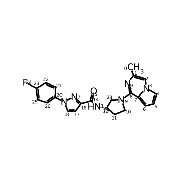 Cc1cn2cccc2c(N2CC[C@H](NC(=O)c3ccn(-c4ccc(F)cc4)n3)C2)n1